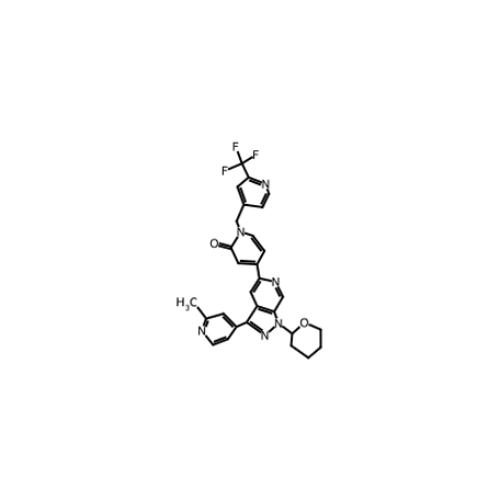 Cc1cc(-c2nn(C3CCCCO3)c3cnc(-c4ccn(Cc5ccnc(C(F)(F)F)c5)c(=O)c4)cc23)ccn1